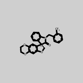 O=C1N(Cc2ccccc2C(F)(F)F)c2ccccc2[C@]12COc1cc3c(cc12)OCCO3